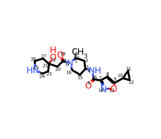 C[C@@H]1CC(NC(=O)c2cc(C3CC3)on2)CCN1C(=O)CC1(O)CCNCC1